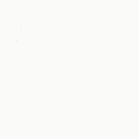 CCCCCCCCCCCCCCCC(CCCCCCCC)c1[nH]cc[n+]1C(C)CCCCCCCCCC